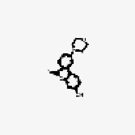 O=c1oc2cc(O)ccc2c2cc(N3CCOCC3)ccc12